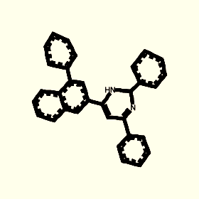 C1=C(c2cc(-c3ccccc3)c3ccccc3c2)NC(c2ccccc2)N=C1c1ccccc1